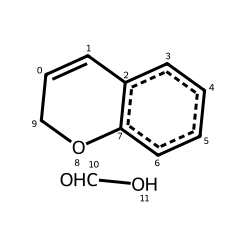 C1=Cc2ccccc2OC1.O=CO